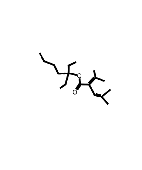 CCCCC(CC)(CC)OC(=O)C(C=C(C)C)=C(C)C